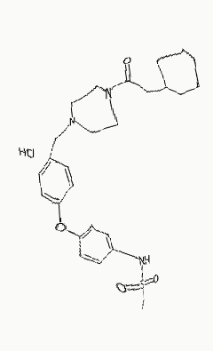 CS(=O)(=O)Nc1ccc(Oc2ccc(CN3CCN(C(=O)CC4CCCCC4)CC3)cc2)cc1.Cl